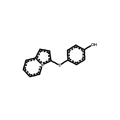 Oc1ccc(Sc2ccc3ccccn23)cc1